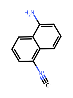 [C-]#[N+]c1cccc2c(N)cccc12